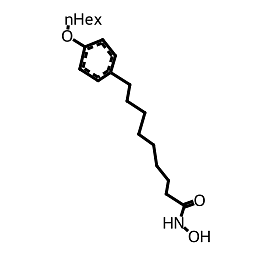 CCCCCCOc1ccc(CCCCCCCCC(=O)NO)cc1